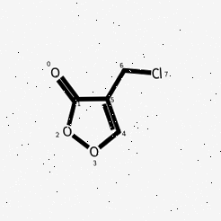 O=c1oocc1CCl